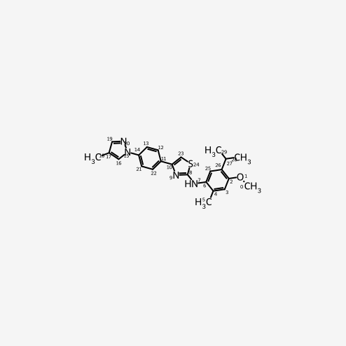 COc1cc(C)c(Nc2nc(-c3ccc(-n4cc(C)cn4)cc3)cs2)cc1C(C)C